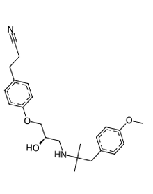 COc1ccc(CC(C)(C)NC[C@@H](O)COc2ccc(CCC#N)cc2)cc1